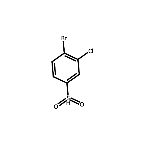 O=[SH](=O)c1ccc(Br)c(Cl)c1